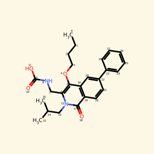 CCCCOc1c(CNC(=O)O)n(CC(C)C)c(=O)c2ccc(-c3ccccc3)cc12